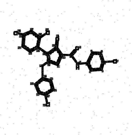 O=C(Nc1ccc(Cl)cc1)c1cn(Cc2ccc(Cl)cc2)n(-c2ccc(Cl)cc2Cl)c1=O